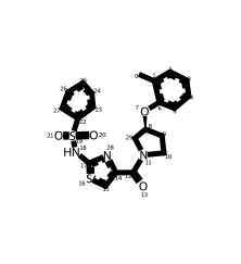 Cc1ccccc1O[C@H]1CCN(C(=O)c2csc(NS(=O)(=O)c3ccccc3)n2)C1